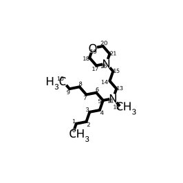 CCCCCC(CCCCC)N(C)CCCN1CCOCC1